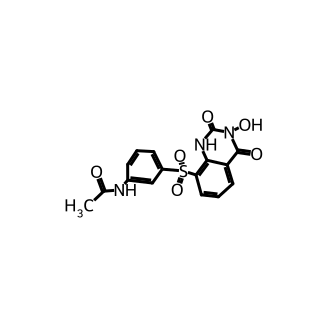 CC(=O)Nc1cccc(S(=O)(=O)c2cccc3c(=O)n(O)c(=O)[nH]c23)c1